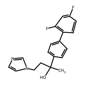 CC(O)(CCn1ccnc1)c1ccc(-c2ccc(F)cc2F)cc1